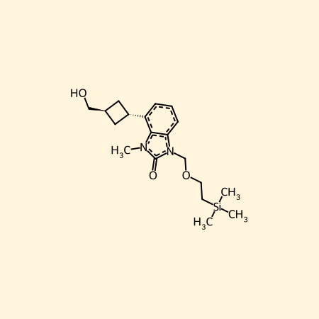 Cn1c(=O)n(COCC[Si](C)(C)C)c2cccc([C@H]3C[C@H](CO)C3)c21